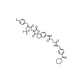 C[C@H](N(Cc1ccc(F)cc1)C(=O)CN1C(=O)OC2(CCc3cc(NC(=O)CCC(=O)NCc4ccc(C(=O)C5CCCCC5)cc4)ccc32)C1=O)C(F)(F)F